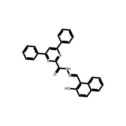 O=C(N/N=C/c1c(O)ccc2ccccc12)c1nc(-c2ccccc2)cc(-c2ccccc2)n1